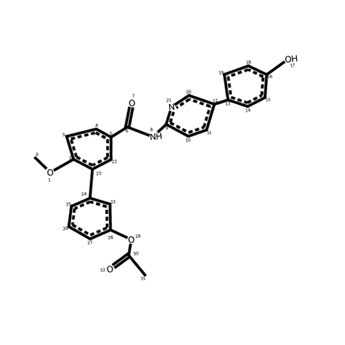 COc1ccc(C(=O)Nc2ccc(-c3ccc(O)cc3)cn2)cc1-c1cccc(OC(C)=O)c1